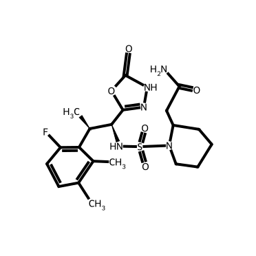 Cc1ccc(F)c([C@@H](C)[C@H](NS(=O)(=O)N2CCCCC2CC(N)=O)c2n[nH]c(=O)o2)c1C